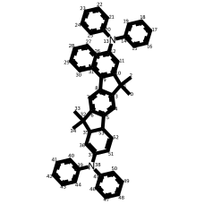 CC1(C)c2cc3c(cc2-c2c1cc(N(c1ccccc1)c1ccccc1)c1ccccc21)C(C)(C)C1C=C(N(c2ccccc2)c2ccccc2)C=CC31